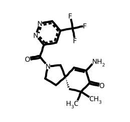 CC1(C)C[C@]2(C=C(N)C1=O)CCN(C(=O)c1cc(C(F)(F)F)cnn1)C2